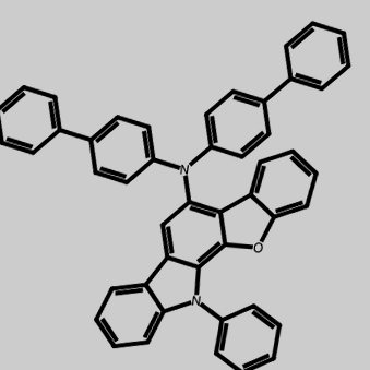 c1ccc(-c2ccc(N(c3ccc(-c4ccccc4)cc3)c3cc4c5ccccc5n(-c5ccccc5)c4c4oc5ccccc5c34)cc2)cc1